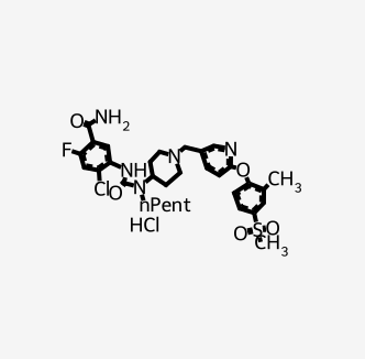 CCCCCN(C(=O)Nc1cc(C(N)=O)c(F)cc1Cl)C1CCN(Cc2ccc(Oc3ccc(S(C)(=O)=O)cc3C)nc2)CC1.Cl